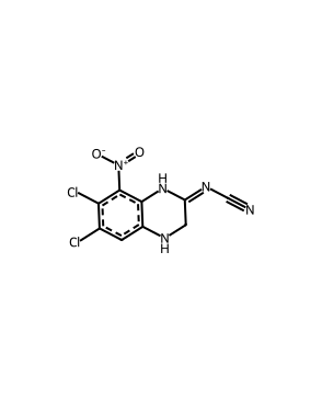 N#CN=C1CNc2cc(Cl)c(Cl)c([N+](=O)[O-])c2N1